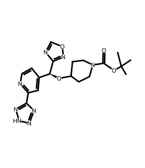 CC(C)(C)OC(=O)N1CCC(O[C@@H](c2ccnc(-c3nn[nH]n3)c2)c2ncon2)CC1